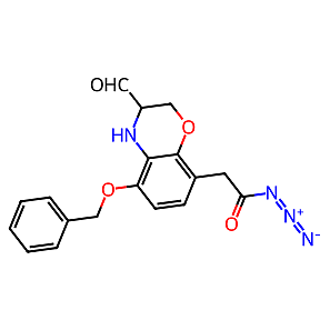 [N-]=[N+]=NC(=O)Cc1ccc(OCc2ccccc2)c2c1OCC(C=O)N2